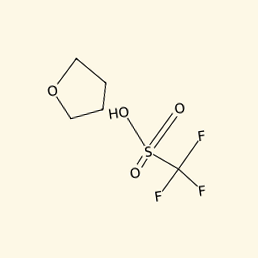 C1CCOC1.O=S(=O)(O)C(F)(F)F